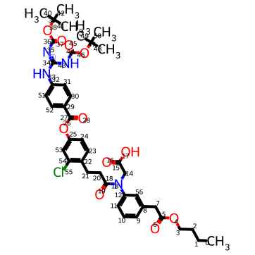 CCCCOC(=O)Cc1cccc(N(CC(=O)O)C(=O)CCc2ccc(OC(=O)c3ccc(N/C(=N/C(=O)OC(C)(C)C)NC(=O)OC(C)(C)C)cc3)cc2Cl)c1